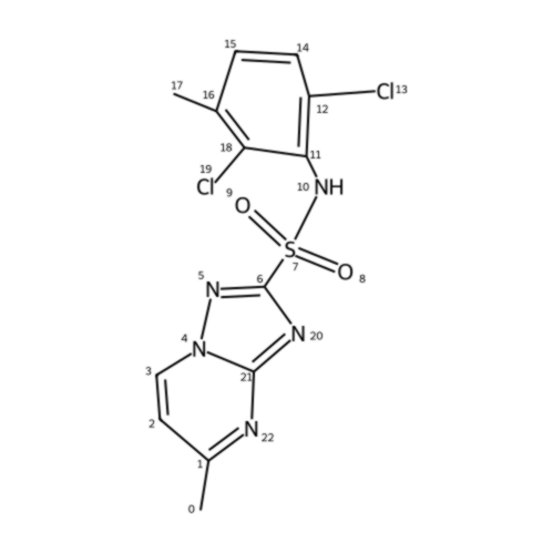 Cc1ccn2nc(S(=O)(=O)Nc3c(Cl)ccc(C)c3Cl)nc2n1